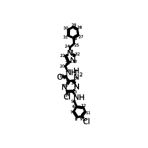 Nc1nc(NCc2ccc(Cl)cc2)c(Cl)nc1C(=O)NCc1cn(CCc2ccccc2)cn1